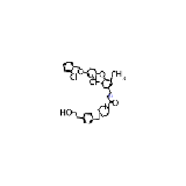 Cc1cc(/C=C/C(=O)N2CCN(Cc3ccc(CCO)cc3)CC2)cc(Cl)c1Oc1ccc(OCc2ccccc2Cl)cn1